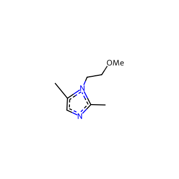 COCCn1c(C)cnc1C